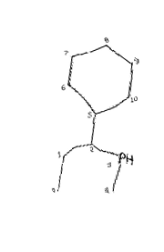 CCC(PC)C1CCCCC1